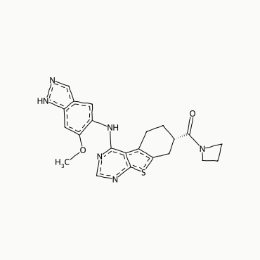 COc1cc2[nH]ncc2cc1Nc1ncnc2sc3c(c12)CC[C@H](C(=O)N1CCC1)C3